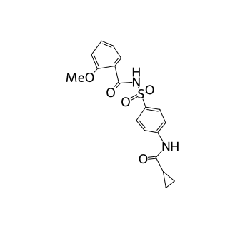 COc1ccccc1C(=O)NS(=O)(=O)c1ccc(NC(=O)C2CC2)cc1